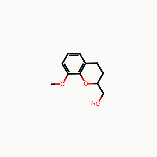 COc1cccc2c1OC(CO)CC2